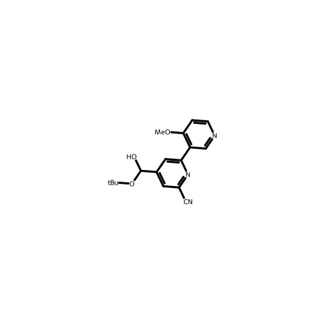 COc1ccncc1-c1cc(C(O)OC(C)(C)C)cc(C#N)n1